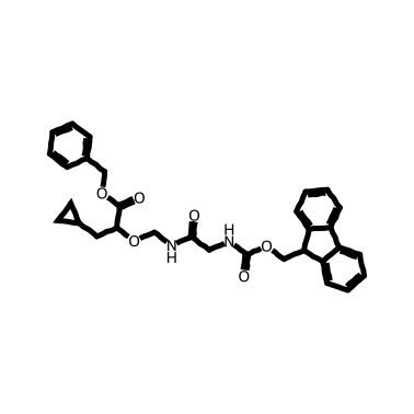 O=C(CNC(=O)OCC1c2ccccc2-c2ccccc21)NCOC(CC1CC1)C(=O)OCc1ccccc1